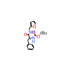 CC(C)(C)OC(=O)N[C@@H](Cc1ccccc1)C(=O)NCc1ccco1